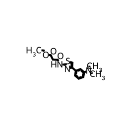 CCOC(=O)CC(=O)Nc1nc(-c2cccc(N(C)C)c2)cs1